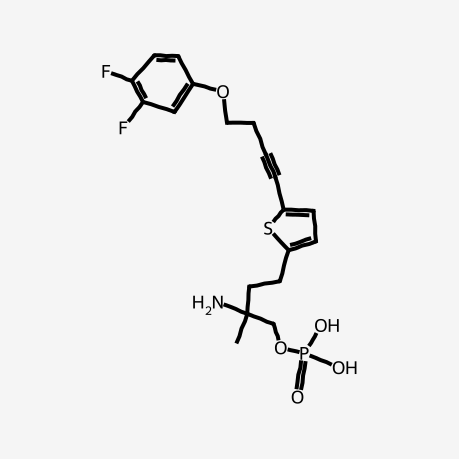 CC(N)(CCc1ccc(C#CCCOc2ccc(F)c(F)c2)s1)COP(=O)(O)O